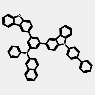 c1ccc(-c2ccc(-n3c4ccccc4c4cc(-c5cc(-c6ccc7oc8ccccc8c7c6)cc(N(c6ccccc6)c6ccc7ccccc7c6)c5)ccc43)cc2)cc1